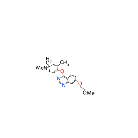 CNC1(C)C=C(C)C(Oc2ncnc3cc(OCCOC)ccc23)=CC1